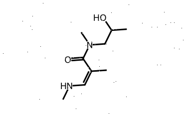 CNC=C(C)C(=O)N(C)CC(C)O